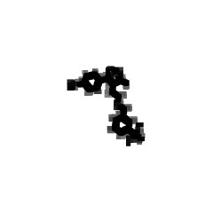 Cc1noc(-c2ccc(Br)cc2)c1CCSCc1cccc(C(F)(F)F)c1